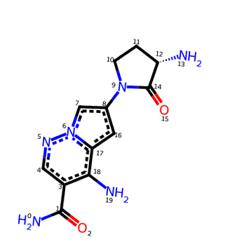 NC(=O)c1cnn2cc(N3CC[C@H](N)C3=O)cc2c1N